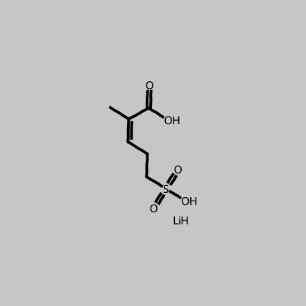 CC(=CCCS(=O)(=O)O)C(=O)O.[LiH]